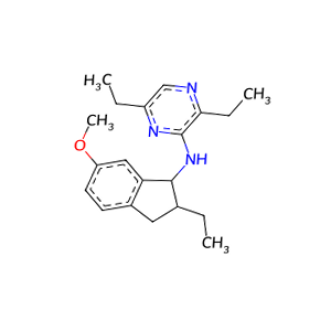 CCc1cnc(CC)c(NC2c3cc(OC)ccc3CC2CC)n1